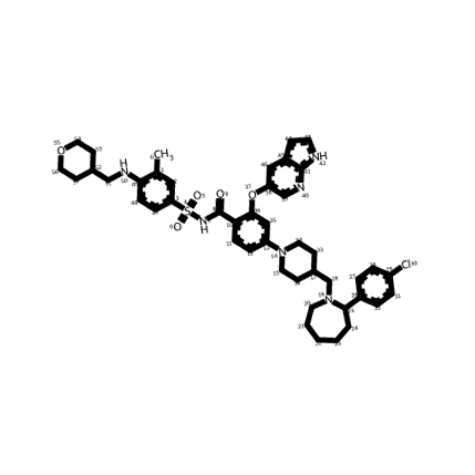 Cc1cc(S(=O)(=O)NC(=O)c2ccc(N3CCC(CN4CCCCCC4c4ccc(Cl)cc4)CC3)cc2Oc2cnc3[nH]ccc3c2)ccc1NCC1CCOCC1